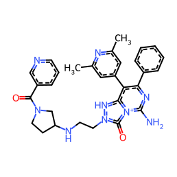 Cc1cc(-c2c(-c3ccccc3)nc(N)[n+]3c(=O)n(CCNC4CCN(C(=O)c5cccnc5)C4)[nH]c23)cc(C)n1